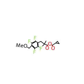 COCc1c(F)c(F)c(CC(C)(C)C(=O)OC(=O)C2CC2)c(F)c1F